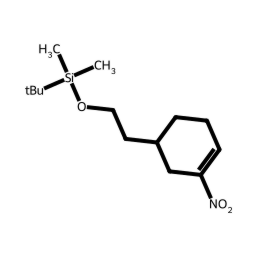 CC(C)(C)[Si](C)(C)OCCC1CCC=C([N+](=O)[O-])C1